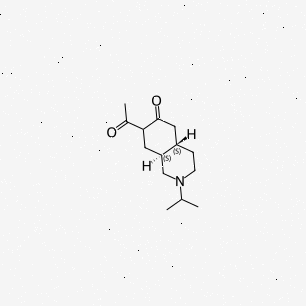 CC(=O)C1C[C@@H]2CN(C(C)C)CC[C@H]2CC1=O